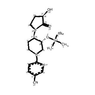 CC(C)(C)[Si](C)(C)O[C@@H]1CN(c2ccc(C#N)cn2)CC[C@H]1N1CC[C@@H](O)C1=O